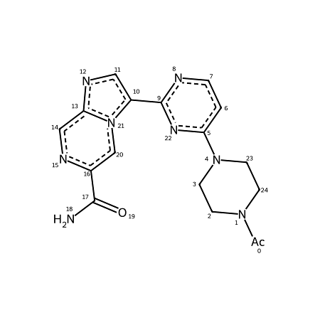 CC(=O)N1CCN(c2ccnc(-c3cnc4cnc(C(N)=O)cn34)n2)CC1